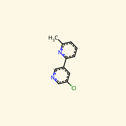 Cc1cccc(-c2[c]ncc(Cl)c2)n1